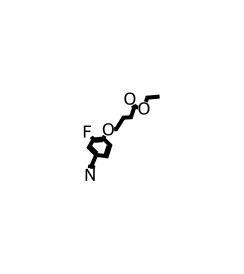 CCOC(=O)CCCOc1ccc(C#N)cc1F